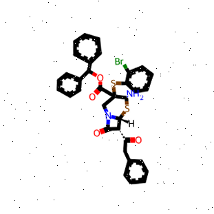 NC1S[C@@H]2[C@H](C(=O)Cc3ccccc3)C(=O)N2CC1(Sc1ccccc1Br)C(=O)OC(c1ccccc1)c1ccccc1